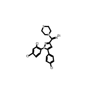 CCN=C(c1cc(-c2ccc(Cl)cc2)n(-c2ccc(Cl)cc2Cl)n1)N1CCSCC1